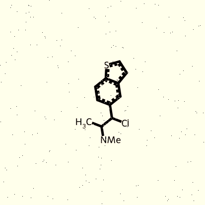 CNC(C)C(Cl)c1ccc2sccc2c1